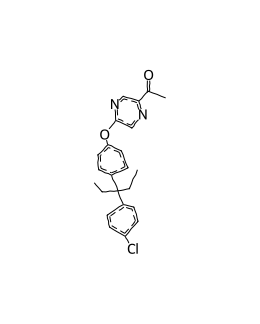 CCC(CC)(c1ccc(Cl)cc1)c1ccc(Oc2cnc(C(C)=O)cn2)cc1